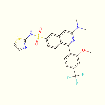 COc1cc(C(F)(F)F)ccc1-c1nc(N(C)C)cc2cc(S(=O)(=O)Nc3nccs3)ccc12